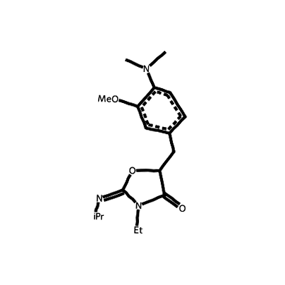 CCN1C(=O)C(Cc2ccc(N(C)C)c(OC)c2)O/C1=N/C(C)C